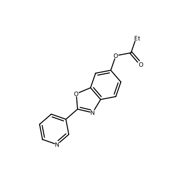 CCC(=O)Oc1ccc2nc(-c3cccnc3)oc2c1